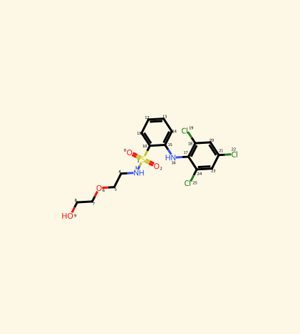 O=S(=O)(NCCOCCO)c1ccccc1Nc1c(Cl)cc(Cl)cc1Cl